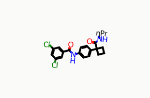 CCCNC(=O)C1(c2ccc(NC(=O)c3cc(Cl)cc(Cl)c3)cc2)CCC1